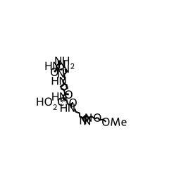 COCCOCCn1cc(CCCCNC(=O)CC[C@H](NC(=O)c2ccc(NCc3cnc4nc(N)[nH]c(=O)c4n3)cc2)C(=O)O)nn1